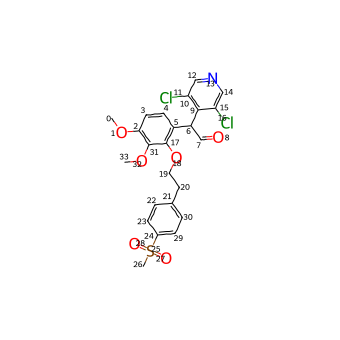 COc1ccc(C(C=O)c2c(Cl)cncc2Cl)c(OCCc2ccc(S(C)(=O)=O)cc2)c1OC